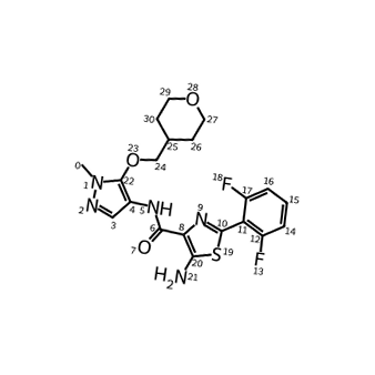 Cn1ncc(NC(=O)c2nc(-c3c(F)cccc3F)sc2N)c1OCC1CCOCC1